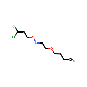 CCCCOCC=NOCC=C(Cl)Cl